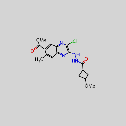 COC(=O)c1cc2nc(Cl)c(NNC(=O)C3CC(OC)C3)nc2cc1C